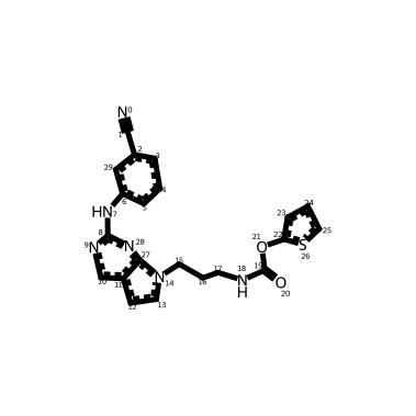 N#Cc1cccc(Nc2ncc3ccn(CCCNC(=O)Oc4cccs4)c3n2)c1